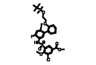 COC(=O)c1cc(Cl)c(OC)c(S(=O)(=O)Nc2cc(-c3ccccc3OCCO[Si](C)(C)C(C)(C)C)c(F)cc2F)c1